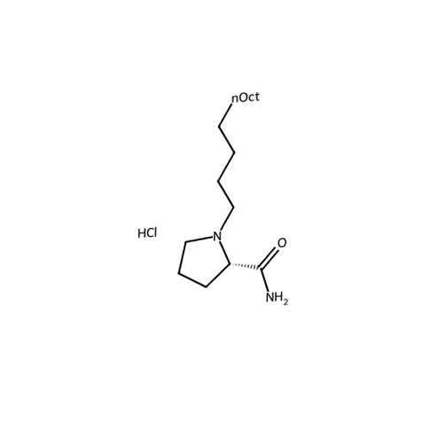 CCCCCCCCCCCCN1CCC[C@H]1C(N)=O.Cl